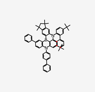 CC(C)(C)c1ccc(N2c3cc4c(cc3B3c5cc(-c6ccccc6)ccc5N(c5ccc(-c6ccccc6)cc5)c5cc(C(C)(C)C)cc2c53)C(C)(C)CC4(C)C)c(-c2ccccc2)c1